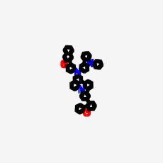 c1ccc(-n2c3ccccc3c3cc(N(c4ccc5oc6cc7ccccc7cc6c5c4)c4cc5cccc6c5c(c4)c4cccc5c7cc(-c8cccc9oc%10ccccc%10c89)ccc7n6c45)ccc32)cc1